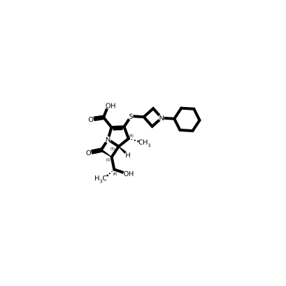 C[C@@H](O)[C@H]1C(=O)N2C(C(=O)O)=C(SC3CN(C4CCCCC4)C3)[C@H](C)[C@H]12